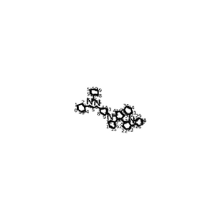 c1ccc(-c2cc(-c3ccc(-n4c5ccccc5c5c(-c6cccc7c8ccccc8n(-c8ccccc8)c67)cccc54)cc3)nc(-c3ccccc3)n2)cc1